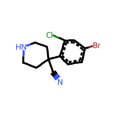 N#CC1(c2ccc(Br)cc2Cl)CCNCC1